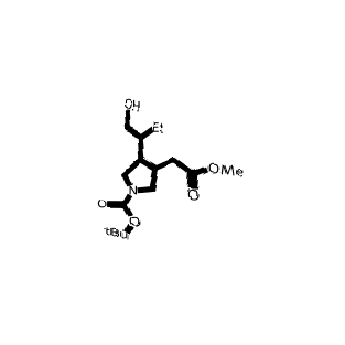 CCC(CO)C1CN(C(=O)OC(C)(C)C)CC1CC(=O)OC